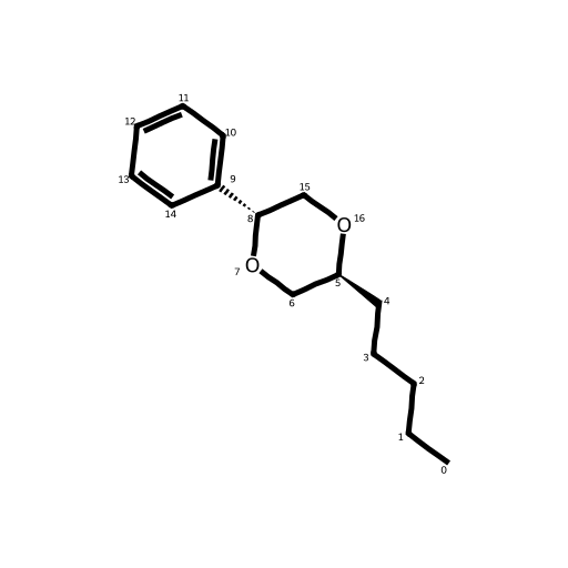 CCCCC[C@H]1CO[C@H](c2ccccc2)CO1